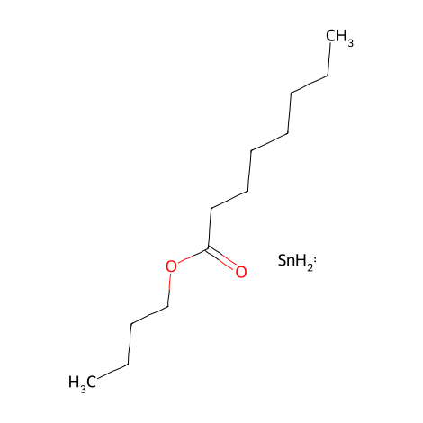 CCCCCCCC(=O)OCCCC.[SnH2]